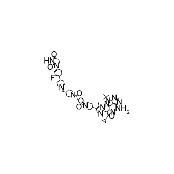 Cc1nc(-c2c(-c3nn(C(C)(C)C)c4ncnc(N)c34)noc2C2CC2)ncc1C1CCN(C(=O)OCC(=O)N2CCC(CN3CCC(c4ccc(N5CCC(=O)NC5=O)cc4F)CC3)CC2)CC1